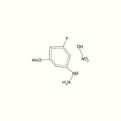 COc1cc(F)cc(NN)c1.O=[N+]([O-])O